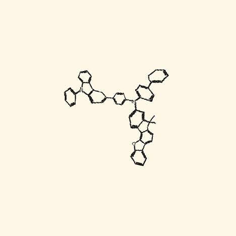 CC1(C)c2cc(N(c3ccc(C4=CC=CCC4)cc3)c3ccc(C4=CC=C5C(C4)c4ccccc4N5c4ccccc4)cc3)ccc2-c2c1ccc1c2oc2ccccc21